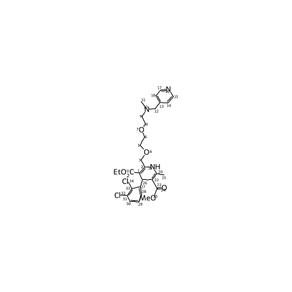 CCOC(=O)C1=C(COCCOCCN(C)Cc2ccncc2)NC(C)=C(C(=O)OC)C1c1cccc(Cl)c1Cl